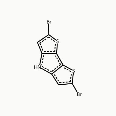 Brc1cc2[nH]c3cc(Br)sc3c2s1